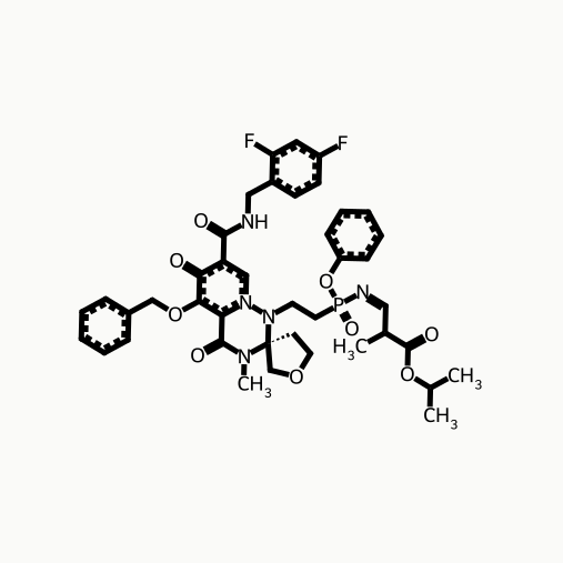 CC(C)OC(=O)C(C)/C=N\P(=O)(CCN1n2cc(C(=O)NCc3ccc(F)cc3F)c(=O)c(OCc3ccccc3)c2C(=O)N(C)[C@@]12CCOC2)Oc1ccccc1